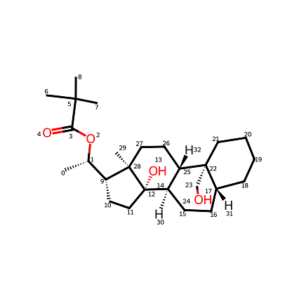 C[C@H](OC(=O)C(C)(C)C)[C@H]1CC[C@]2(O)[C@@H]3CC[C@H]4CCCC[C@]4(CO)[C@H]3CC[C@]12C